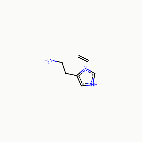 C=C.NCCc1c[nH]cn1